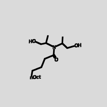 CCCCCCCCCCCC(=O)N(C(C)CO)C(C)CO